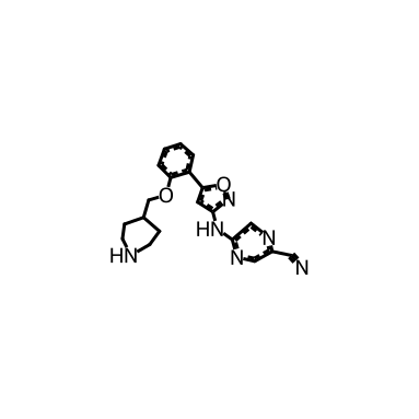 N#Cc1cnc(Nc2cc(-c3ccccc3OCC3CCNCC3)on2)cn1